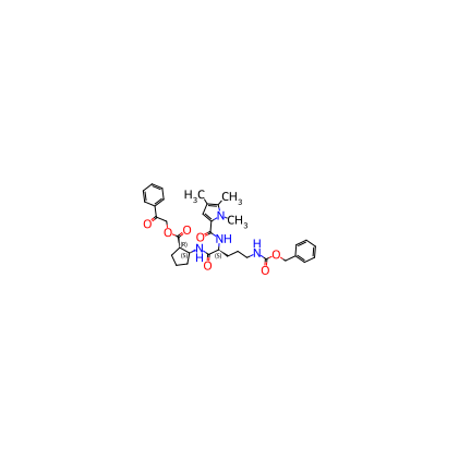 Cc1cc(C(=O)N[C@@H](CCCNC(=O)OCc2ccccc2)C(=O)N[C@H]2CCC[C@H]2C(=O)OCC(=O)c2ccccc2)n(C)c1C